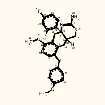 COc1ccc(Cc2cnc(OC)c3c2C[C@H]2CSC(N)=N[C@@]2(c2ccc(F)cc2F)C3)cc1